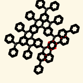 c1ccc(-c2ccc(N(c3ccc(-c4ccccc4)cc3)c3ccc4c(c3)N(c3ccccc3)c3cc(N(c5ccccc5)c5ccccc5)cc5c3B4c3cc4c(cc3N5c3ccccc3)N(c3ccccc3)c3cc(N(c5ccccc5)c5ccccc5)cc5c3B4c3ccc(N(c4ccc(-c6ccccc6)cc4)c4ccc(-c6ccccc6)cc4)cc3N5c3ccccc3)cc2)cc1